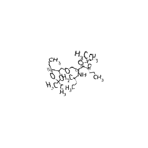 C=C(CC)N[C@@H](COCC1OC(C)(C)O[C@H]1CC)[C@@H]1OC(C)(C)O[C@@H]1CCC